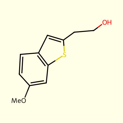 COc1ccc2cc(CCO)sc2c1